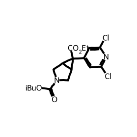 CCOC(=O)C1(c2cc(Cl)nc(Cl)c2)C2CN(C(=O)OCC(C)C)CC21